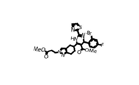 COC(=O)CCn1cc2c(n1)CCC(C1=C(C(=O)OC)C(c3ccc(F)cc3Br)N=C(c3nccs3)N1)C2